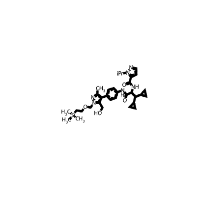 Cc1nn(COCC[Si](C)(C)C)c(CO)c1-c1ccc(NC(=O)C(NC(=O)c2ccnn2C(C)C)C(C2CC2)C2CC2)cc1